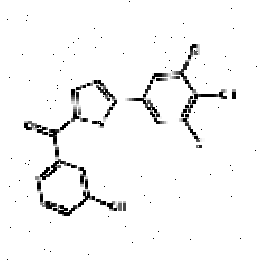 O=C(c1cccc(O)c1)c1ccc(-c2cc(Cl)c(O)c(Cl)c2)s1